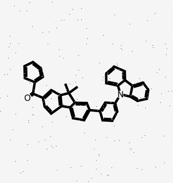 CC1(C)c2cc(C(=O)C3=C=C=CC=C3)ccc2-c2ccc(-c3cccc(-n4c5ccccc5c5ccccc54)c3)cc21